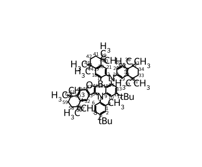 Cc1cc(C(C)(C)C)ccc1N1c2cc(C(C)(C)C)cc3c2B(c2cc4c(cc2N3c2ccc3c(c2)C(C)(C)CCC3(C)C)C(C)(C)CCC4(C)C)c2oc3cc4c(cc3c21)C(C)(C)CCC4(C)C